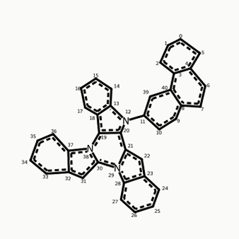 c1ccc2c(c1)ccc1ccc(-n3c4ccccc4c4c3c3cc5ccccc5n3c3cc5ccccc5n43)cc12